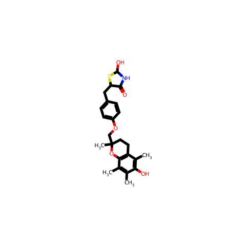 Cc1c(C)c2c(c(C)c1O)CCC(C)(COc1ccc(CC3SC(O)NC3=O)cc1)O2